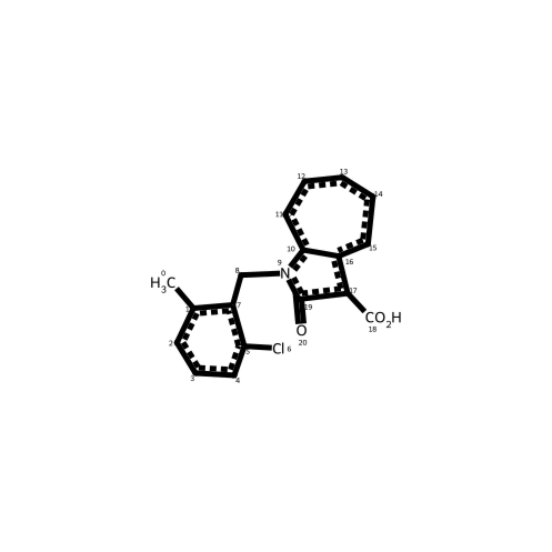 Cc1cccc(Cl)c1Cn1c2cccccc-2c(C(=O)O)c1=O